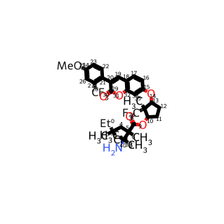 CCC(C)(C)CC(C)(C(=O)OC1CCC(Oc2ccc3cc(-c4ccc(OC)cc4C(F)(F)F)c(=O)oc3c2)C1(C)C(F)(F)F)C(C)(C)N